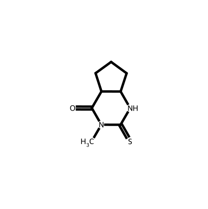 CN1C(=O)C2CCCC2NC1=S